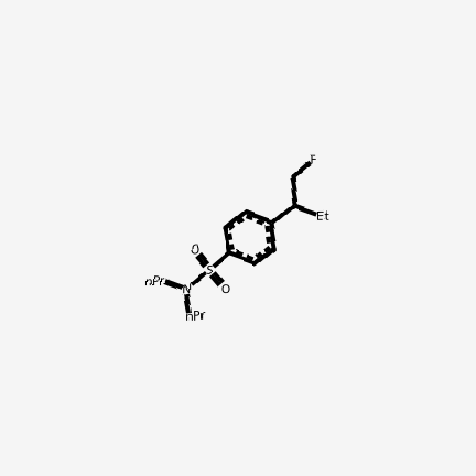 CCCN(CCC)S(=O)(=O)c1ccc(C(CC)CF)cc1